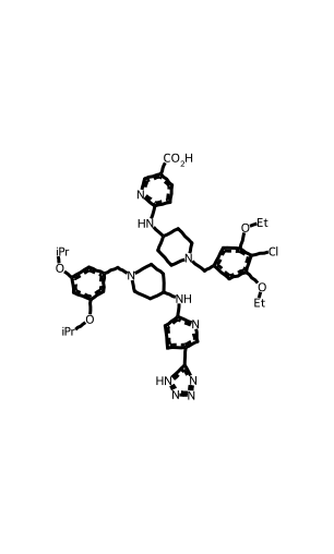 CC(C)Oc1cc(CN2CCC(Nc3ccc(-c4nnn[nH]4)cn3)CC2)cc(OC(C)C)c1.CCOc1cc(CN2CCC(Nc3ccc(C(=O)O)cn3)CC2)cc(OCC)c1Cl